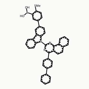 CSc1ccc(-c2ccc3c(c2)c2ccccc2n3-c2nc(-c3ccc(-c4ccccc4)cc3)c3ccc4ccccc4c3n2)cc1B(O)O